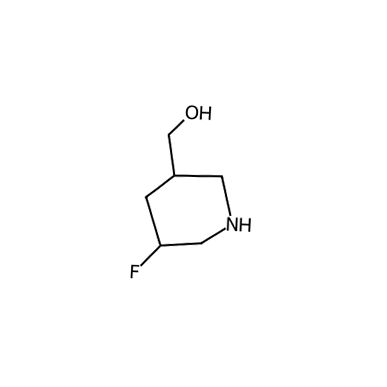 OCC1CNCC(F)C1